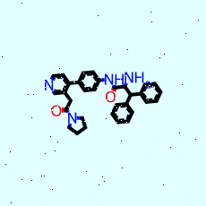 NC(C(=O)Nc1ccc(-c2ccncc2CC(=O)N2CCCC2)cc1)C(c1ccccc1)c1ccccc1